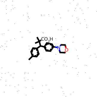 Cc1ccc(C(c2ccc(N3CCOCC3)cc2)C(C)(C)C(=O)O)cc1